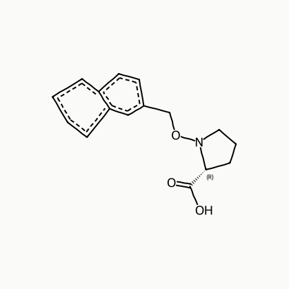 O=C(O)[C@H]1CCCN1OCc1ccc2ccccc2c1